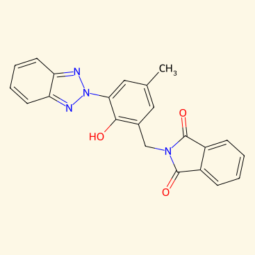 Cc1cc(CN2C(=O)c3ccccc3C2=O)c(O)c(-n2nc3ccccc3n2)c1